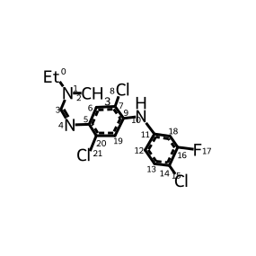 CCN(C)/C=N\c1cc(Cl)c(Nc2ccc(Cl)c(F)c2)cc1Cl